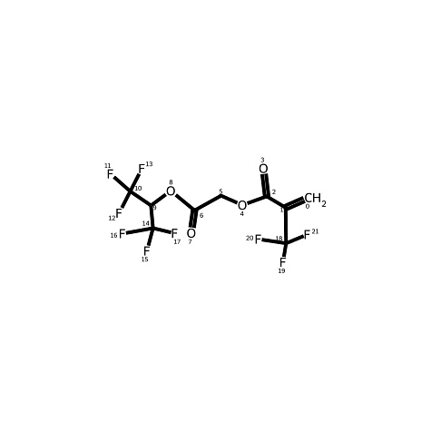 C=C(C(=O)OCC(=O)OC(C(F)(F)F)C(F)(F)F)C(F)(F)F